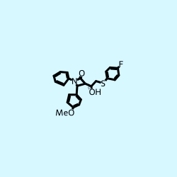 COc1ccc(C2C([C@H](O)CSc3ccc(F)cc3)C(=O)N2c2ccccc2)cc1